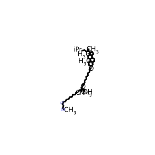 C/C=C\C/C=C\CCCCCCCCOCC(N)(CO)COCCCCCCCCCO[C@H]1CC[C@@]2(C)C(=CCC3C4CCC(C(C)CCCC(C)C)[C@@]4(C)CCC32)C1